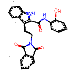 O=C(Nc1ccccc1O)c1[nH]c2ccccc2c1CCN1C(=O)c2ccccc2C1=O